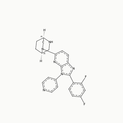 Fc1ccc(-c2nc3ccc(N4C[C@H]5CC[C@@H]4CN5)nc3n2-c2ccncc2)c(F)c1